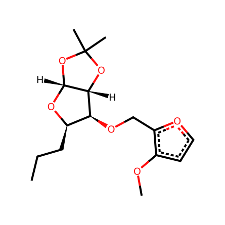 CCC[C@H]1O[C@@H]2OC(C)(C)O[C@@H]2[C@H]1OCc1occc1OC